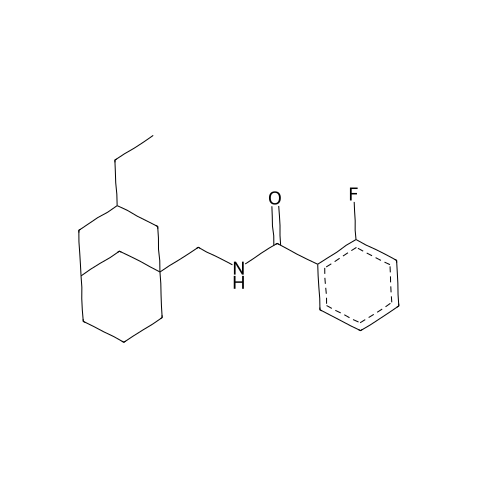 CCC1CC2CCCC(CNC(=O)c3ccccc3F)(C1)C2